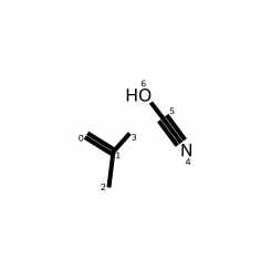 C=C(C)C.N#CO